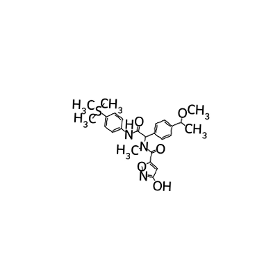 COC(C)c1ccc(C(C(=O)Nc2ccc(S(C)(C)C)cc2)N(C)C(=O)c2cc(O)no2)cc1